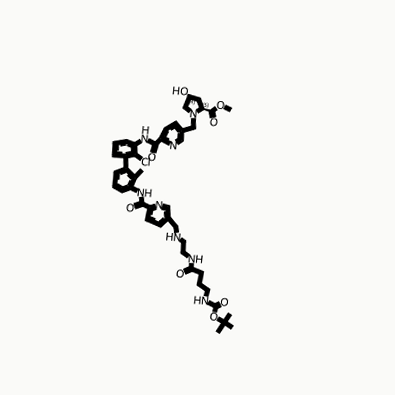 COC(=O)[C@@H]1C[C@@H](O)CN1Cc1ccc(C(=O)Nc2cccc(-c3cccc(NC(=O)c4ccc(CNCCNC(=O)CCCNC(=O)OC(C)(C)C)cn4)c3C)c2Cl)nc1